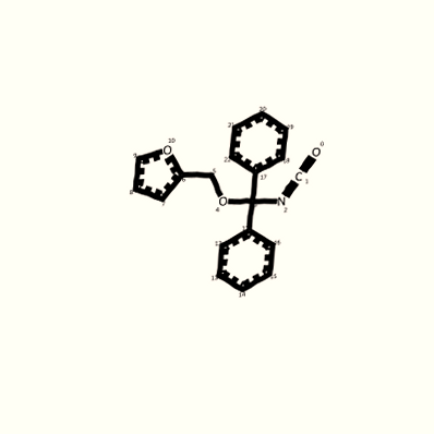 O=C=NC(OCc1ccco1)(c1ccccc1)c1ccccc1